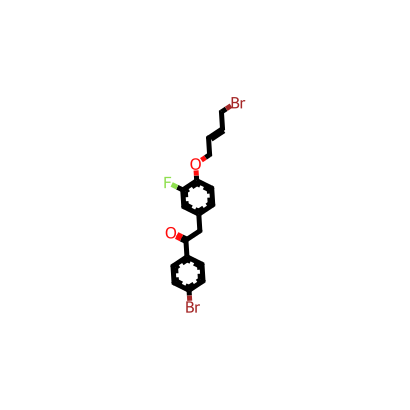 O=C(Cc1ccc(OCC=CCBr)c(F)c1)c1ccc(Br)cc1